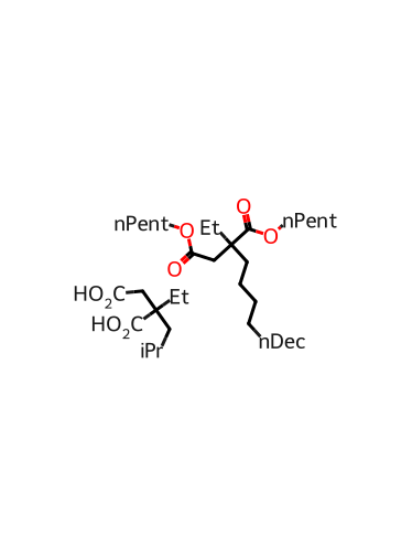 CCC(CC(=O)O)(CC(C)C)C(=O)O.CCCCCCCCCCCCCCC(CC)(CC(=O)OCCCCC)C(=O)OCCCCC